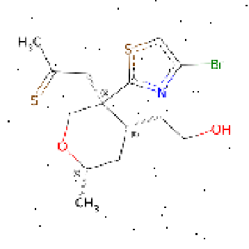 CC(=S)C[C@@]1(c2nc(Br)cs2)CO[C@@H](C)C[C@H]1CCO